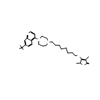 CC1=C(OCCCCCCCCN2CCCN(c3ccnc4cc(C(F)(F)F)ccc34)CC2)C(C)SC1=O